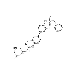 O=S(=O)(Cc1ccccc1)Nc1ccc(-c2cc3cnc(N[C@@H]4CNC[C@@H](F)C4)nc3cn2)cc1F